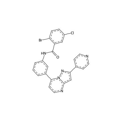 O=C(Nc1cccc(-c2ccnc3cc(-c4ccncc4)nn23)c1)c1cc(Cl)ccc1Br